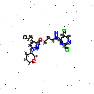 O=[N+]([O-])c1cn(C2CCCOC2)nc1OCCCNc1nc(Cl)ncc1Cl